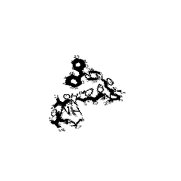 COC(CCNC(=O)C(NC(=O)C(C(C)C)N(C)C)C(C)C)CC(=O)N1CCCC1C(CC(=O)N1CCN(C(c2ccccc2)c2ccccc2)CC1)SC